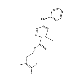 CC(CCOC(=O)c1cnc(Nc2ccccc2)nc1C)=C(F)F